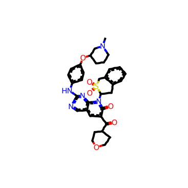 CN1CCCC(Oc2ccc(Nc3ncc4cc(C(=O)C5CCOCC5)c(=O)n(C5Cc6ccccc6CS5(=O)=O)c4n3)cc2)C1